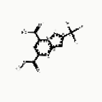 COC(=O)c1cc(C(=O)O)n2nc(C(F)(F)F)cc2n1